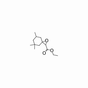 CCOC(=O)C1OC12CC(C)CC(C)(C)C2